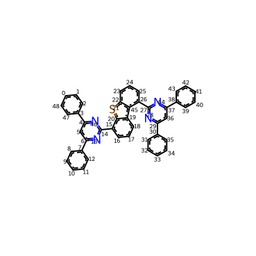 c1ccc(-c2cc(-c3ccccc3)nc(-c3cccc4c3sc3cccc(-c5nc(-c6ccccc6)cc(-c6ccccc6)n5)c34)n2)cc1